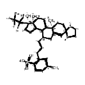 Cc1ccc(S(=O)(=O)O)c(CCC[C@@H]2CC3=CC4(CC[C@]3(C)C3CC[C@@]5(C)C(CC[C@@]5(O)C(F)(F)C(F)(F)F)C32)SCCS4)c1